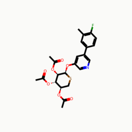 CC(=O)O[C@@H]1[C@@H](OC(C)=O)[C@@H](Oc2cncc(-c3ccc(F)c(C)c3)c2)SC[C@H]1OC(C)=O